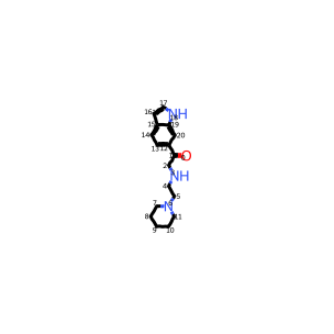 O=C(CNCCN1CCCCC1)c1ccc2[c]c[nH]c2c1